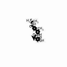 Cc1ccc(NC(=O)C2(c3ccc(O)c(O)c3)CC2)cc1-c1ccc(C(=O)NCC(C)C)cc1